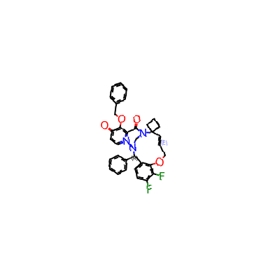 O=C1c2c(OCc3ccccc3)c(=O)ccn2N2CN1C1(/C=C/COc3c(ccc(F)c3F)[C@H]2c2ccccc2)CCC1